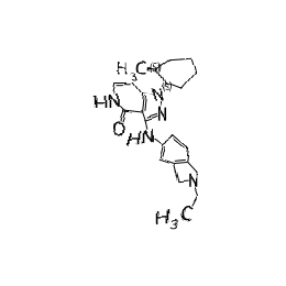 CCN1Cc2ccc(Nc3nn([C@H]4CCCC[C@@H]4C)c4cc[nH]c(=O)c34)cc2C1